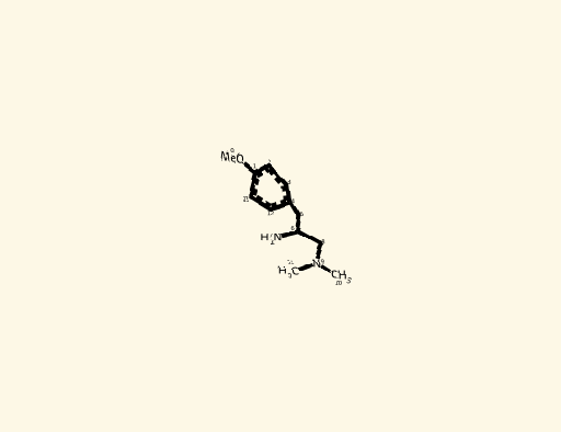 COc1ccc(CC(N)CN(C)C)cc1